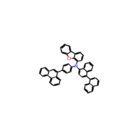 c1ccc2c(-c3ccc(N(c4ccc(-c5cc6ccccc6c6ccccc56)cc4)c4cccc5c4oc4ccccc45)c4ccccc34)cccc2c1